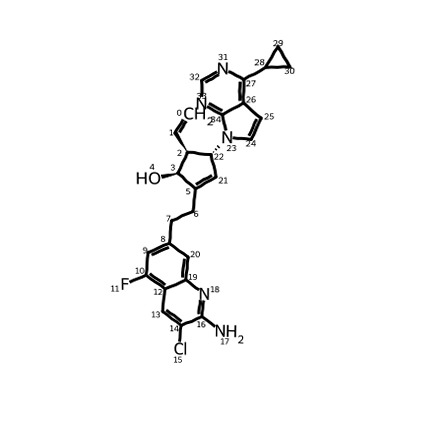 C=C[C@@H]1[C@H](O)C(CCc2cc(F)c3cc(Cl)c(N)nc3c2)=C[C@H]1n1ccc2c(C3CC3)ncnc21